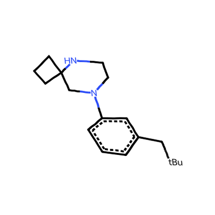 CC(C)(C)Cc1cccc(N2CCNC3(CCC3)C2)c1